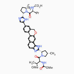 COC(=O)N[C@H](C(=O)N1C[C@@H](C)C[C@H]1c1nc2ccc3cc4c(cc3c2[nH]1)OCc1cc(-c2cnc([C@@H]3CC[C@H](C)N3C(=O)[C@@H](NC(=O)O)C(C)C)[nH]2)ccc1-4)[C@H](C)OC